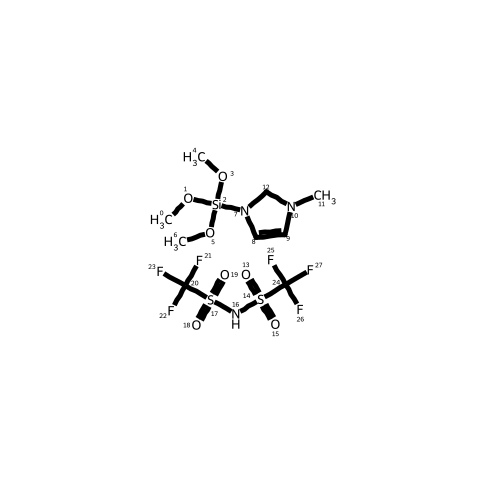 CO[Si](OC)(OC)N1C=CN(C)C1.O=S(=O)(NS(=O)(=O)C(F)(F)F)C(F)(F)F